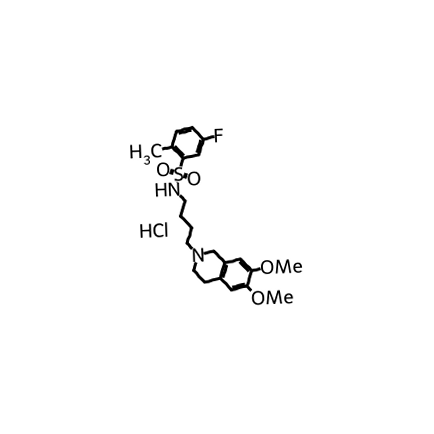 COc1cc2c(cc1OC)CN(CCCCNS(=O)(=O)c1cc(F)ccc1C)CC2.Cl